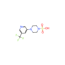 O=S(=O)(O)N1CCN(c2cncc(C(F)(F)F)c2)CC1